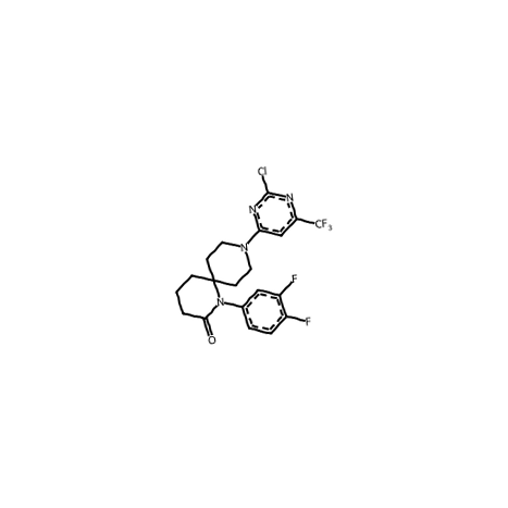 O=C1CCCC2(CCN(c3cc(C(F)(F)F)nc(Cl)n3)CC2)N1c1ccc(F)c(F)c1